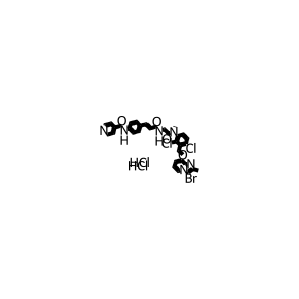 Cc1nc2c(OCc3c(Cl)ccc(N(C)C(=O)CNC(=O)C=Cc4ccc(NC(=O)c5ccncc5)cc4)c3Cl)cccn2c1Br.Cl.Cl